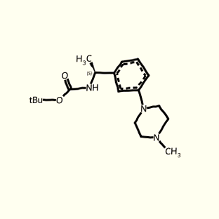 C[C@H](NC(=O)OC(C)(C)C)c1cccc(N2CCN(C)CC2)c1